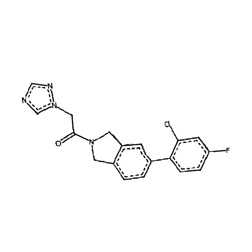 O=C(Cn1cncn1)N1Cc2ccc(-c3ccc(F)cc3Cl)cc2C1